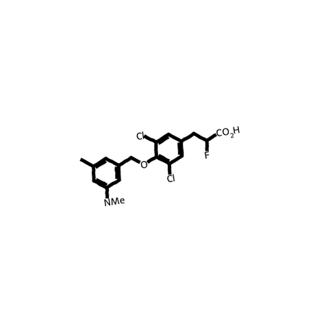 CNc1cc(C)cc(COc2c(Cl)cc(CC(F)C(=O)O)cc2Cl)c1